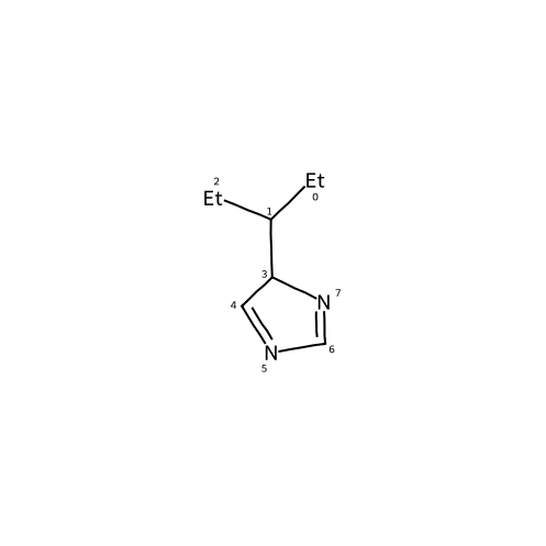 CCC(CC)C1C=NC=N1